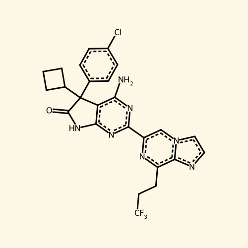 Nc1nc(-c2cn3ccnc3c(CCC(F)(F)F)n2)nc2c1C(c1ccc(Cl)cc1)(C1CCC1)C(=O)N2